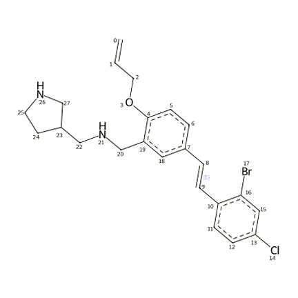 C=CCOc1ccc(/C=C/c2ccc(Cl)cc2Br)cc1CNCC1CCNC1